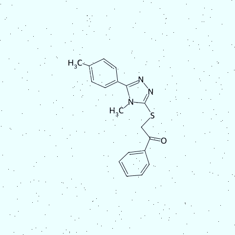 Cc1ccc(-c2nnc(SCC(=O)c3ccccc3)n2C)cc1